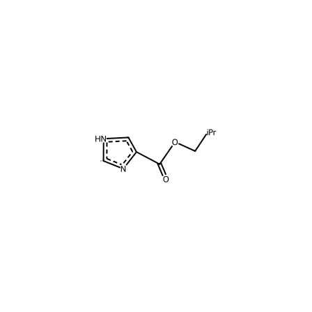 CC(C)COC(=O)c1c[nH][c]n1